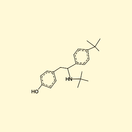 CC(C)(C)NC(Cc1ccc(O)cc1)c1ccc(C(C)(C)C)cc1